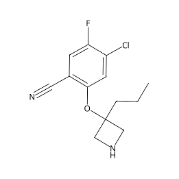 CCCC1(Oc2cc(Cl)c(F)cc2C#N)CNC1